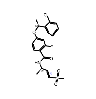 C[C@H](/C=C/S(C)(=O)=O)NC(=O)c1ccc(O[C@@H](C)c2ccccc2Cl)cc1F